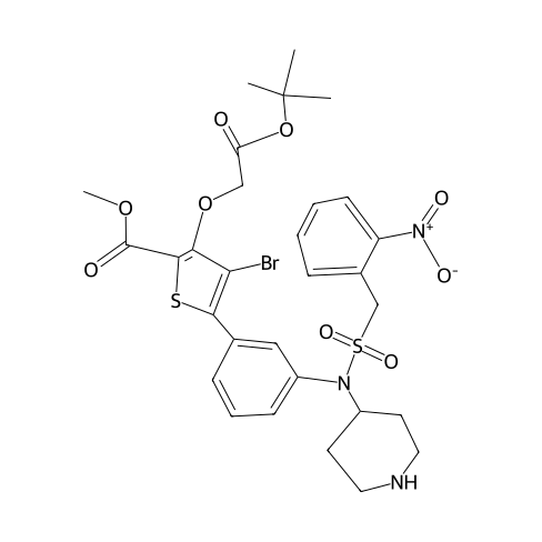 COC(=O)c1sc(-c2cccc(N(C3CCNCC3)S(=O)(=O)Cc3ccccc3[N+](=O)[O-])c2)c(Br)c1OCC(=O)OC(C)(C)C